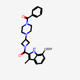 COc1cccc2c(C)c(C(=O)N3CC(N4CCN(C(=O)c5ccccc5)CC4)C3)[nH]c12